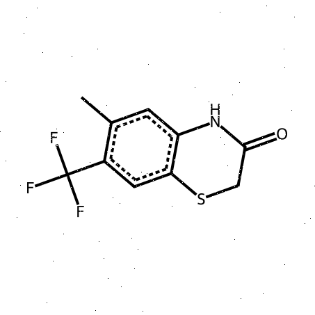 Cc1cc2c(cc1C(F)(F)F)SCC(=O)N2